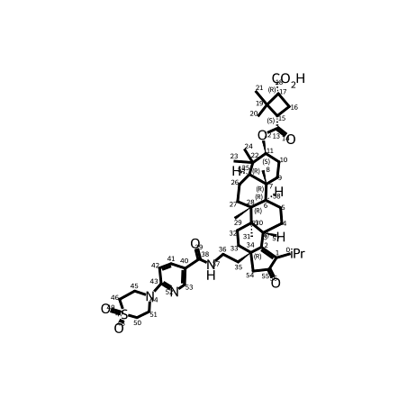 CC(C)C1=C2[C@H]3CC[C@@H]4[C@@]5(C)CC[C@H](OC(=O)[C@H]6C[C@@H](C(=O)O)C6(C)C)C(C)(C)[C@@H]5CC[C@@]4(C)[C@]3(C)CC[C@@]2(CCNC(=O)c2ccc(N3CCS(=O)(=O)CC3)nc2)CC1=O